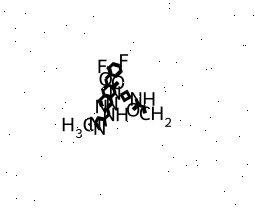 C=CC(=O)NC1CC(n2c(=O)c(Oc3ccc(F)cc3F)cc3cnc(Nc4cnn(C)c4)nc32)C1